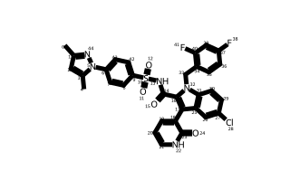 Cc1cc(C)n(-c2ccc(S(=O)(=O)NC(=O)c3c(-c4ccc[nH]c4=O)c4cc(Cl)ccc4n3Cc3ccc(F)cc3F)cc2)n1